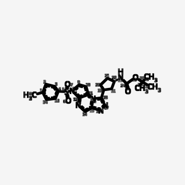 Cc1ccc(S(=O)(=O)n2ccc3c2ncc2nnc(C4CC[C@H](NC(=O)OC(C)(C)C)C4)n23)cc1